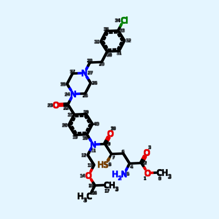 COC(=O)C(N)C[C@@H](S)C(=O)N(CCOC(C)C)c1ccc(C(=O)N2CCN(CCc3ccc(Cl)cc3)CC2)cc1